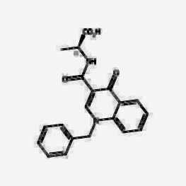 C[C@H](NC(=O)c1cn(Cc2ccccc2)c2ccccc2c1=O)C(=O)O